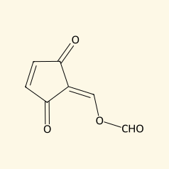 O=COC=C1C(=O)C=CC1=O